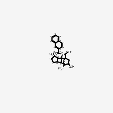 CC(C)CC12CC(O)C(C)(O1)C1C3CCC(C)C3C12OC(=O)c1ccc2ccccc2c1